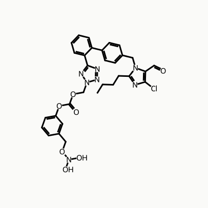 CCCCc1nc(Cl)c(C=O)n1Cc1ccc(-c2ccccc2-c2nnn(COC(=O)Oc3cccc(CON(O)O)c3)n2)cc1